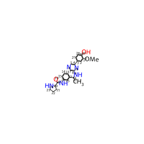 COc1cc(-c2cncc(NC(C)c3cccc(NC(=O)C4CCCN4)c3)n2)ccc1O